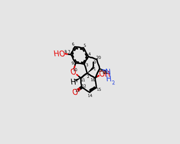 CC[C@]12c3c4ccc(O)c3O[C@H]1C(=O)C=C[C@@]2(O)[C@H](N)C4